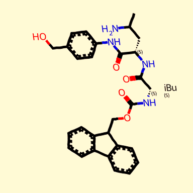 CC[C@H](C)[C@H](NC(=O)OCC1c2ccccc2-c2ccccc21)C(=O)N[C@@H](CC(C)N)C(=O)Nc1ccc(CO)cc1